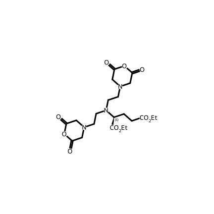 CCOC(=O)CC[C@@H](C(=O)OCC)N(CCN1CC(=O)OC(=O)C1)CCN1CC(=O)OC(=O)C1